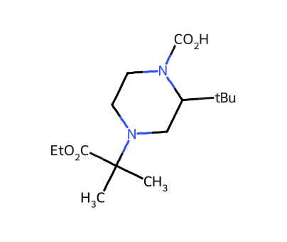 CCOC(=O)C(C)(C)N1CCN(C(=O)O)C(C(C)(C)C)C1